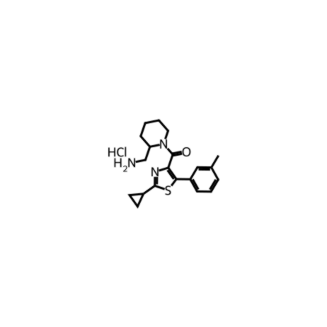 Cc1cccc(-c2sc(C3CC3)nc2C(=O)N2CCCCC2CN)c1.Cl